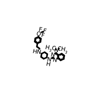 CN(C)c1nc(N[C@H]2CC[C@@H](NCCc3ccc(OC(F)(F)F)cc3)CC2)nc2ccccc12